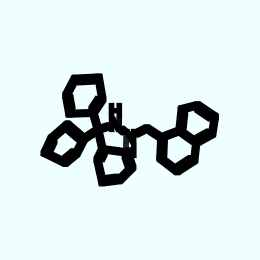 c1ccc(C(NNCc2cccc3ccccc23)(c2ccccc2)c2ccccc2)cc1